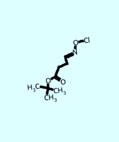 CC(C)(C)OC(=O)CCC=NOCl